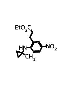 CCOC(=O)CCc1cc([N+](=O)[O-])ccc1NC1(C)CC1